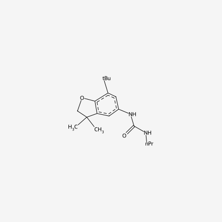 CCCNC(=O)Nc1cc(C(C)(C)C)c2c(c1)C(C)(C)CO2